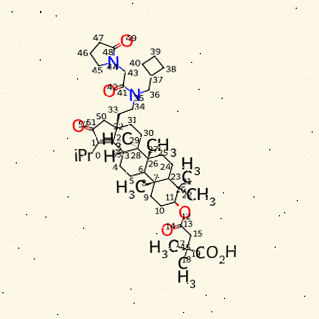 CC(C)C1=C2[C@H]3CCC4[C@@]5(C)CC[C@H](OC(=O)CC(C)(C)C(=O)O)C(C)(C)C5CC[C@@]4(C)[C@]3(C)CC[C@@]2(CCN(CC2CCC2)C(=O)CN2CCCC2=O)CC1=O